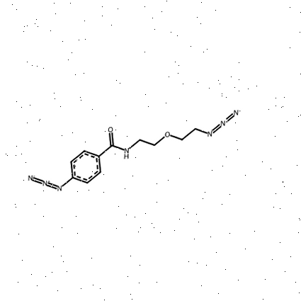 [N-]=[N+]=NCCOCCNC(=O)c1ccc(N=[N+]=[N-])cc1